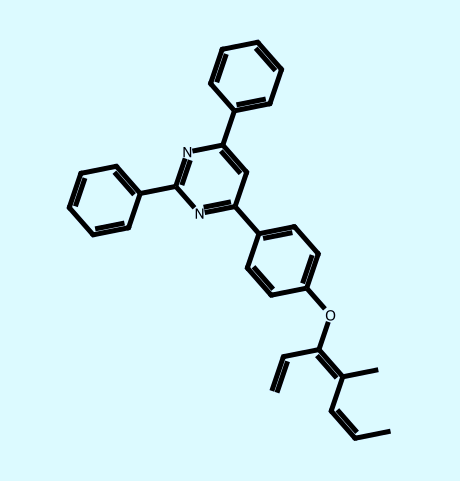 C=C/C(Oc1ccc(-c2cc(-c3ccccc3)nc(-c3ccccc3)n2)cc1)=C(C)\C=C/C